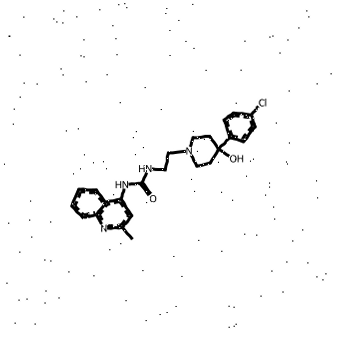 Cc1cc(NC(=O)NCCN2CCC(O)(c3ccc(Cl)cc3)CC2)c2ccccc2n1